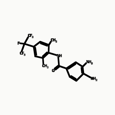 Cc1cc(C(F)(C(F)(F)F)C(F)(F)F)cc(C)c1NC(=O)c1ccc(N)c(N)c1